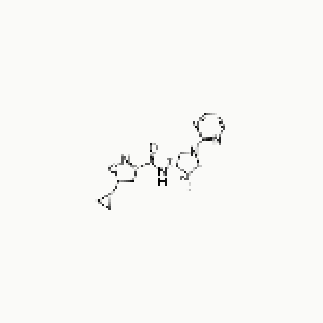 C[C@H]1CN(c2ncccn2)C[C@H]1NC(=O)c1cc(C2CC2)on1